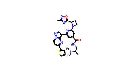 CCN(CC)C(C)CNC(=O)c1cc(-c2cnn3ccc(-c4cccs4)nc23)nc(N2CCC2c2nc(C)no2)c1